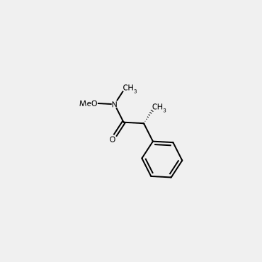 CON(C)C(=O)[C@H](C)c1ccccc1